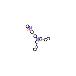 c1ccc2cc(-c3ccc4c(c3)c3cc(-c5ccc6ccccc6c5)ccc3n4-c3ccc(-c4ccc(-c5nc6ccccc6o5)cc4)cc3)ccc2c1